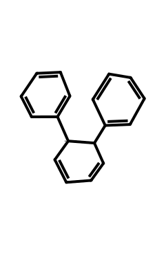 C1=C[C](c2ccccc2)C(c2ccccc2)C=C1